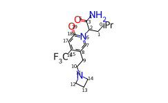 CC(C)CC(C(N)=O)n1cc(CCN2CCC2)c(C(F)(F)F)cc1=O